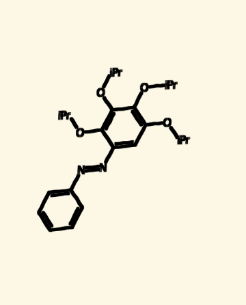 CC(C)Oc1cc(N=Nc2ccccc2)c(OC(C)C)c(OC(C)C)c1OC(C)C